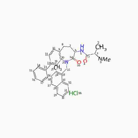 CNC(C)C(=O)NC1CCc2ccc(-c3ccccc3)cc2N(Cc2c(C)ccc3ccccc23)C1=O.Cl